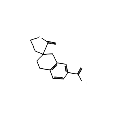 CC(=O)c1ccc2c(c1)CC1(CCNC1=O)CC2